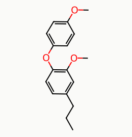 CCCc1ccc(Oc2ccc(OC)cc2)c(OC)c1